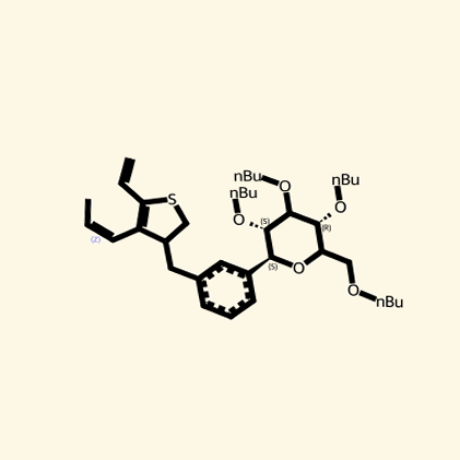 C=CC1=C(/C=C\C)C(Cc2cccc([C@@H]3OC(COCCCC)[C@@H](OCCCC)C(OCCCC)[C@H]3OCCCC)c2)CS1